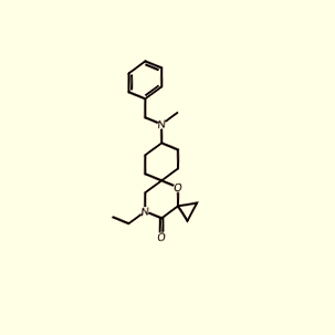 CCN1CC2(CCC(N(C)Cc3ccccc3)CC2)OC2(CC2)C1=O